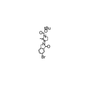 C[C@@H]1[C@H](N2Cc3ccc(Br)cc3C2=O)CCN1C(=O)OC(C)(C)C